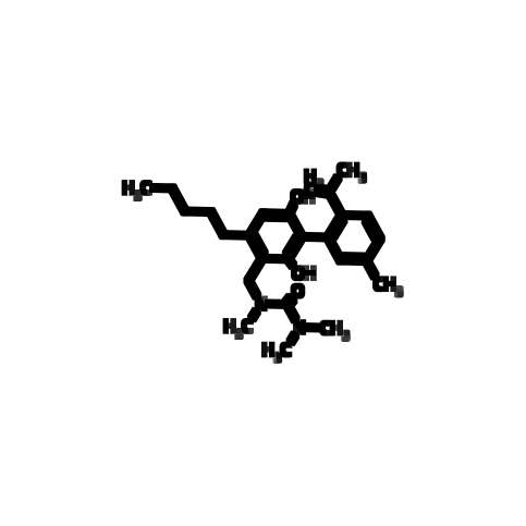 C=C(C)c1ccc(C)cc1-c1c(O)cc(CCCCC)c(CN(C)C(=O)N(C)C)c1O